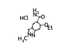 CCOc1cc2nn(C)cc2cc1C(N)=O.Cl